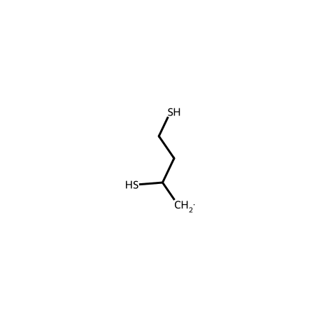 [CH2]C(S)CCS